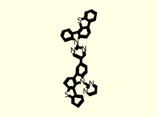 c1cnc(-n2c3ccc(-c4cnc(-n5c6ccccc6c6c7sc8ccccc8c7ccc65)nc4)cc3c3ccc4sc5ccccc5c4c32)nc1